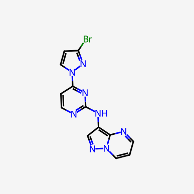 Brc1ccn(-c2ccnc(Nc3cnn4cccnc34)n2)n1